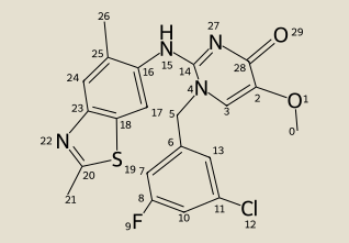 COc1cn(Cc2cc(F)cc(Cl)c2)c(Nc2cc3sc(C)nc3cc2C)nc1=O